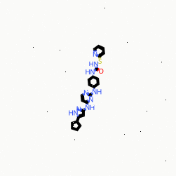 O=C(NSc1ccccn1)N[C@H]1CC[C@H](Nc2nccc(Nc3cc(C4CCCC4)[nH]n3)n2)CC1